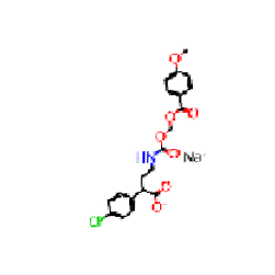 COc1ccc(C(=O)OCOC(=O)NCCC(C(=O)[O-])c2ccc(Cl)cc2)cc1.[Na+]